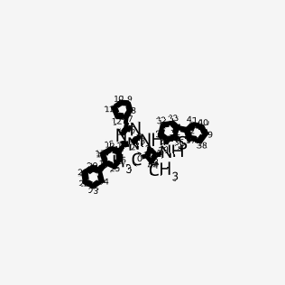 CC1=C(Nc2nc(-c3ccccc3)nc(-c3ccc(-c4ccccc4)cc3)n2)C(Nc2cccc3c2sc2ccccc23)=C1C